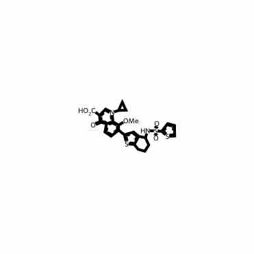 COc1c(-c2cc3c(s2)CCCC3NS(=O)(=O)c2cccs2)ccc2c(=O)c(C(=O)O)cn(C3CC3)c12